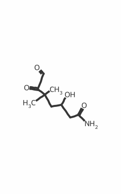 CC(C)(CC(O)CC(N)=O)C(=O)C=O